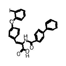 O=C(O)/C(=C/c1ccc(Oc2ccccc2I)cc1)NC(=O)c1ccc(-c2ccccc2)cc1